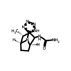 C[C@@H]1CC(NC(N)=O)[C@H]2CC[C@@H]1N2c1nnn[nH]1